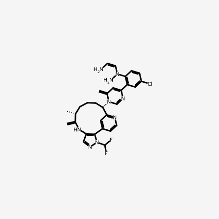 C=C1Nc2cnn(C(F)F)c2-c2ccnc(c2)[C@@H](N2C=NC(c3cc(Cl)ccc3N(N)/C=C\N)=CC2=C)CCC[C@H]1C